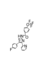 O=C(Nc1nc(-c2ccccn2)c(-c2ccc(F)cc2)s1)c1ccc(OC(F)(F)F)cc1